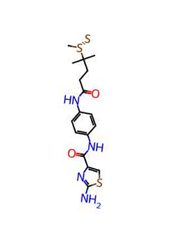 CS(=S)C(C)(C)CCC(=O)Nc1ccc(NC(=O)c2csc(N)n2)cc1